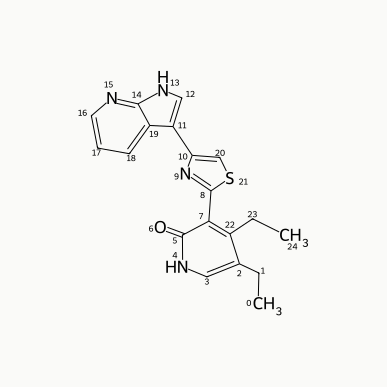 CCc1c[nH]c(=O)c(-c2nc(-c3c[nH]c4ncccc34)cs2)c1CC